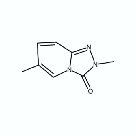 Cc1ccc2nn(C)c(=O)n2c1